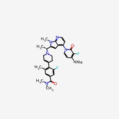 CNc1ccn(-c2ccnc3c2cc([C@H](C)N2CC=C(c4c(C)cc(C(=O)N(C)C)cc4F)CC2)n3C)c(=O)c1F